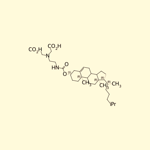 CC(C)CCC[C@@H](C)[C@H]1CCC2C3CC=C4C[C@@H](OC(=O)NCCN(CC(=O)O)CC(=O)O)CC[C@]4(C)C3CC[C@@]21C